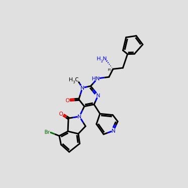 Cn1c(NC[C@H](N)Cc2ccccc2)nc(-c2ccncc2)c(N2Cc3cccc(Br)c3C2=O)c1=O